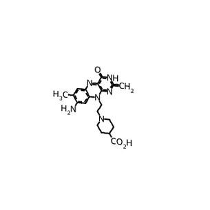 C=c1nc2c(c(=O)[nH]1)=Nc1cc(C)c(N)cc1N2CCN1CCC(C(=O)O)CC1